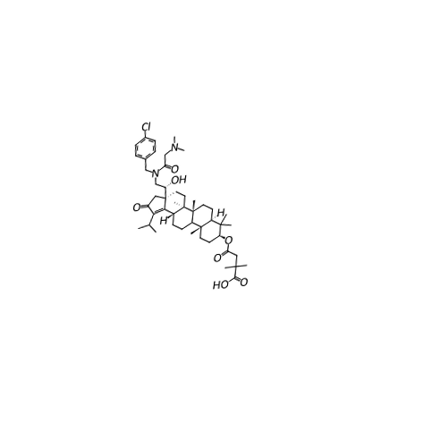 CC(C)C1=C2[C@H]3CCC4[C@@]5(C)CC[C@H](OC(=O)CC(C)(C)C(=O)O)C(C)(C)[C@@H]5CC[C@@]4(C)[C@]3(C)CC[C@@]2([C@@H](O)CN(Cc2ccc(Cl)cc2)C(=O)CN(C)C)CC1=O